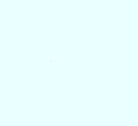 O=COc1ccc(CCc2ccc(F)cc2)c(C(=O)O)c1